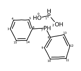 OPO.c1ccc(Pc2ccccc2)cc1